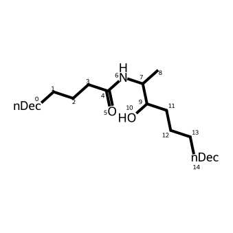 CCCCCCCCCCCCCC(=O)NC(C)C(O)CCCCCCCCCCCCC